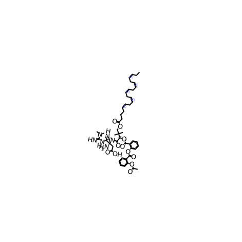 CC/C=C\C/C=C\C/C=C\C/C=C\C/C=C\CCCC(=O)OCC(C)(C)[C@@H](OC(=O)c1ccccc1OC(=O)c1ccccc1OC(C)=O)C(=O)NC(N)(CC(=O)O)C(=N)NC(=N)N(C)C